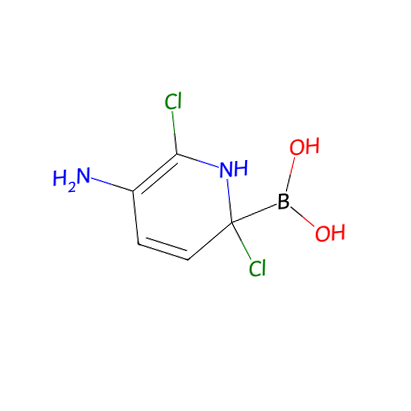 NC1=C(Cl)NC(Cl)(B(O)O)C=C1